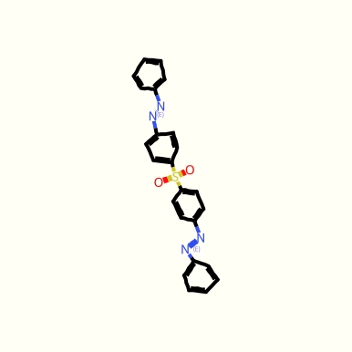 O=S(=O)(c1ccc(/N=N/c2ccccc2)cc1)c1ccc(/N=N/c2ccccc2)cc1